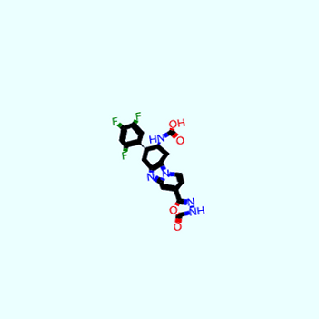 O=C(O)N[C@H]1Cc2c(nc3cc(-c4n[nH]c(=O)o4)ccn23)C[C@@H]1c1cc(F)c(F)cc1F